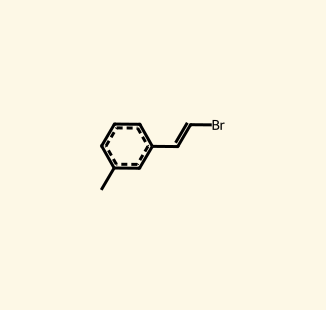 Cc1cccc(/C=C/Br)c1